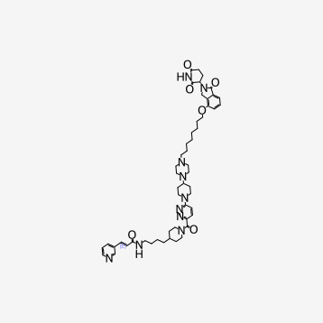 O=C(/C=C/c1cccnc1)NCCCCC1CCN(C(=O)c2ccc(N3CCC(N4CCN(CCCCCCCCOc5cccc6c5CN(C5CCC(=O)NC5=O)C6=O)CC4)CC3)nn2)CC1